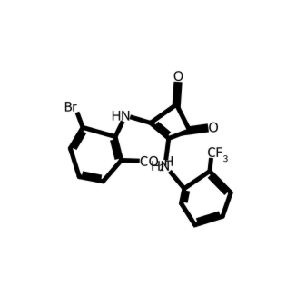 O=C(O)c1cccc(Br)c1Nc1c(Nc2ccccc2C(F)(F)F)c(=O)c1=O